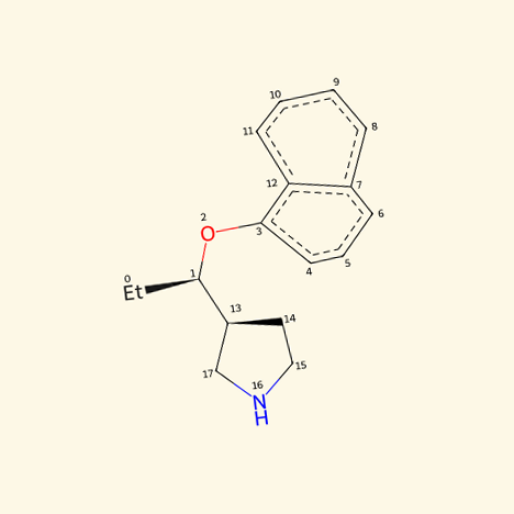 CC[C@@H](Oc1cccc2ccccc12)[C@H]1CCNC1